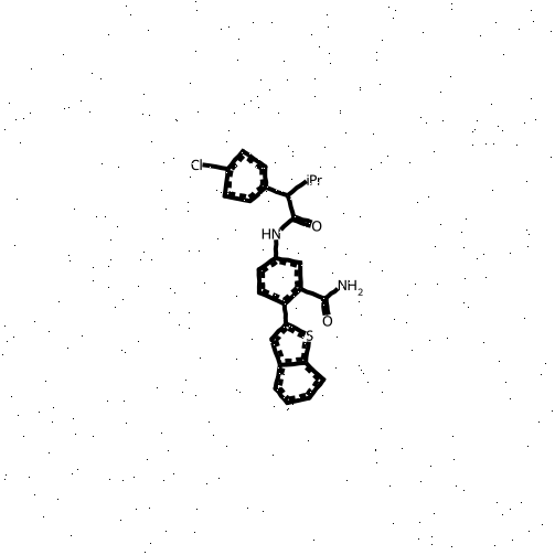 CC(C)C(C(=O)Nc1ccc(-c2cc3ccccc3s2)c(C(N)=O)c1)c1ccc(Cl)cc1